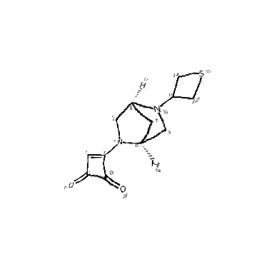 O=c1cc(N2C[C@@H]3C[C@H]2CN3C2CSC2)c1=O